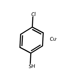 Sc1ccc(Cl)cc1.[Cu]